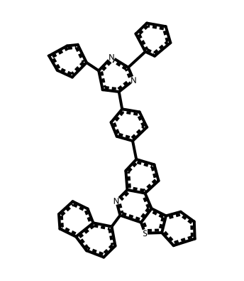 c1ccc(-c2cc(-c3ccc(-c4ccc5c(c4)nc(-c4cccc6ccccc46)c4sc6ccccc6c45)cc3)nc(-c3ccccc3)n2)cc1